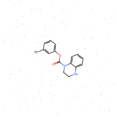 N#Cc1cccc(OC(=O)N2CCNc3ccccc32)c1